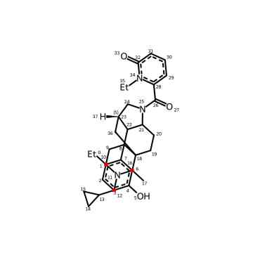 CCc1ccc(O)cc1C12CCN(CC3CC3)C(C)C13CCC1C2[C@@H](CN1C(=O)c1cccc(=O)n1CC)C3